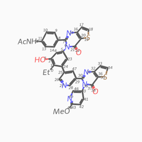 CCc1c(O)cc(-n2c(-c3ccc(NC(C)=O)cc3)nc3ccsc3c2=O)cc1-c1cncc(-c2nc3ccsc3c(=O)n2-c2ccc(OC)nc2)c1